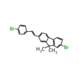 CC1(C)c2cc(Br)ccc2-c2ccc(/C=C/c3ccc(Br)cc3)cc21